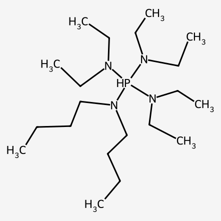 CCCCN(CCCC)[PH](N(CC)CC)(N(CC)CC)N(CC)CC